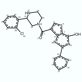 O=C(c1csc2c(O)nc(-c3ccccn3)nc12)N1CCNC(c2ccccc2Cl)C1